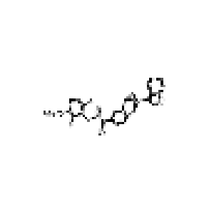 COc1ccc(F)c(CNC(=O)c2ccc3c(c2)C2C=C(c4coc5ccccc45)C3C2)c1F